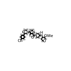 COC1COCCC1NC1CCN(C(=O)c2ncnc(N3CCOC(c4ccc(Cl)cc4)C3)c2C)CC1